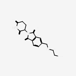 O=C1CCC(N2C(=O)c3ccc(CNCCO)cc3C2=O)C(=O)N1